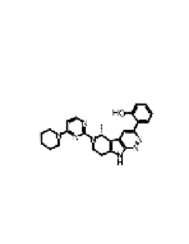 C[C@@H]1c2c([nH]c3nnc(-c4ccccc4O)cc23)CCN1c1nccc(N2CCCCC2)n1